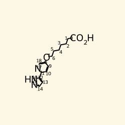 O=C(O)CCCCCCOc1ccc(-c2ccn[nH]2)nc1